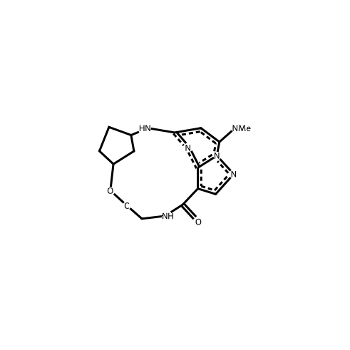 CNc1cc2nc3c(cnn13)C(=O)NCCOC1CCC(C1)N2